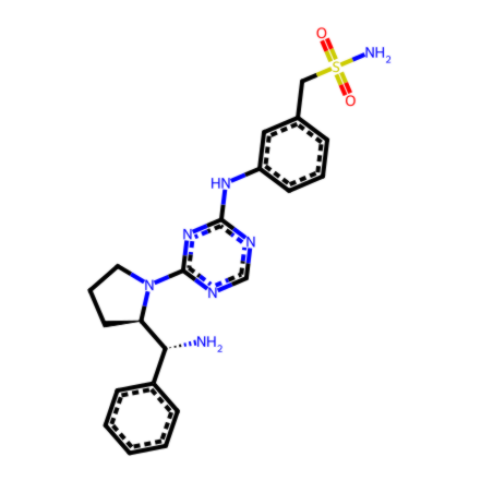 N[C@H](c1ccccc1)[C@H]1CCCN1c1ncnc(Nc2cccc(CS(N)(=O)=O)c2)n1